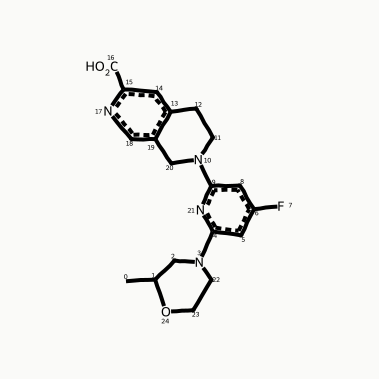 CC1CN(c2cc(F)cc(N3CCc4cc(C(=O)O)ncc4C3)n2)CCO1